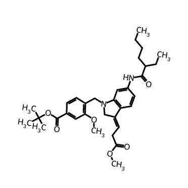 CCCCC(CC)C(=O)Nc1ccc2c(c1)N(Cc1ccc(C(=O)OC(C)(C)C)cc1OC)CC2=CCC(=O)OC